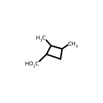 CC1CC(C(=O)O)C1C